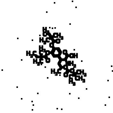 CCC(C)(C)C(=O)Oc1ccc(C(CC(C)OC(=O)OC(C)(C)C)[C@H](N)C(=O)O)cc1OC(=O)C(C)(C)CC